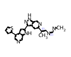 C=N/C=N\C=C(/C)c1cc2c(-c3cc4c(-c5cccs5)cncc4[nH]3)n[nH]c2cn1